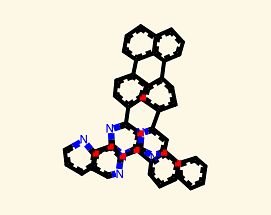 c1ccc(-c2cc(-c3ccc(-c4cccc5cccc(-c6ccc(-c7cc(-c8ccccc8)nc(-c8ccccn8)n7)cc6)c45)cc3)nc(-c3ccccn3)n2)cc1